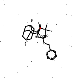 COC(=O)C12CC3C[C@H](C1)C(N(NC(=O)OCc1ccccc1)C(=O)C(C)(C)Br)[C@@H](C3)C2